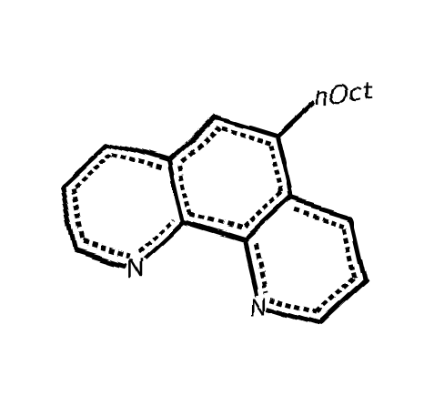 CCCCCCCCc1cc2cccnc2c2ncccc12